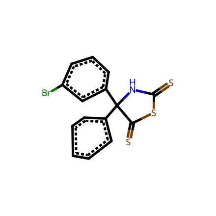 S=C1NC(c2ccccc2)(c2cccc(Br)c2)C(=S)S1